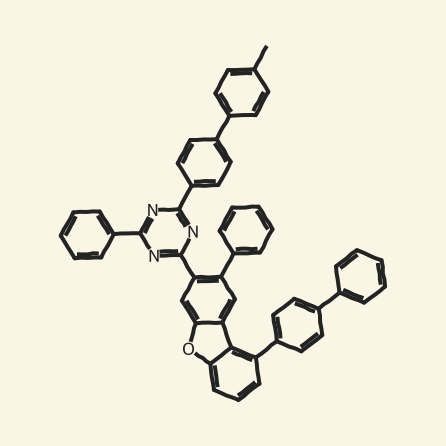 Cc1ccc(-c2ccc(-c3nc(-c4ccccc4)nc(-c4cc5oc6cccc(-c7ccc(-c8ccccc8)cc7)c6c5cc4-c4ccccc4)n3)cc2)cc1